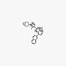 Cc1c(-c2nc3c(-c4ccc5ccccc5c4)ccnc3[nH]2)cnn1C1CCOCC1